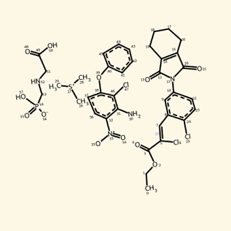 CCOC(=O)/C(Cl)=C/c1cc(N2C(=O)C3=C(CCCC3)C2=O)ccc1Cl.C[S+](C)C.Nc1c([N+](=O)[O-])ccc(Oc2ccccc2)c1Cl.O=C(O)CNCP(=O)([O-])O